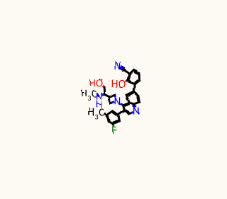 CNC(CO)C1CN(c2c(-c3cc(C)cc(F)c3)cnc3ccc(-c4cccc(C#N)c4O)cc23)C1